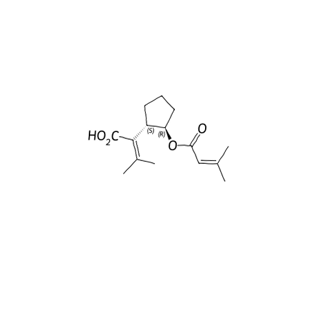 CC(C)=CC(=O)O[C@@H]1CCC[C@H]1C(C(=O)O)=C(C)C